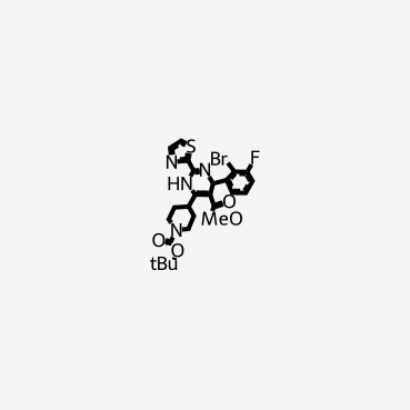 COC(=O)C1=C(C2CCN(C(=O)OC(C)(C)C)CC2)NC(c2nccs2)=NC1c1cccc(F)c1Br